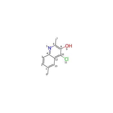 Cc1ccc2nc(C)c(O)c(Cl)c2c1